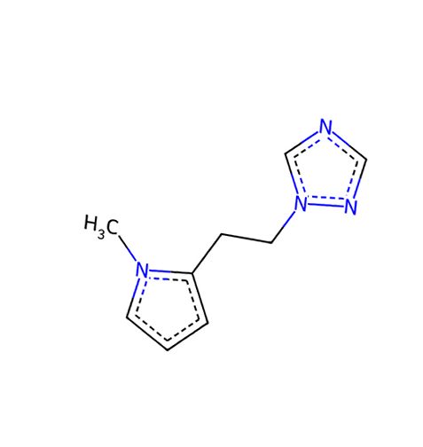 Cn1cccc1CCn1cncn1